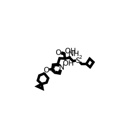 NC(CSCC1CCC1)[C@](O)(Cc1cc(OC2CCC3(CC2)CC3)ccn1)C(=O)O